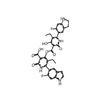 CCc1c(-c2cc3c(cc2F)NCC3)[nH]c(=O)c(C(=O)Oc2c(CC)c(-c3cc4cc[nH]c4cc3F)[nH]c(=O)c2C(=O)O)c1O